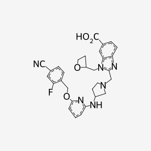 N#Cc1ccc(COc2cccc(NC3CCN(Cc4nc5ccc(C(=O)O)cc5n4CC4CCO4)C3)n2)c(F)c1